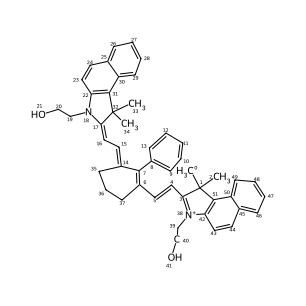 CC1(C)C(/C=C/C2=C(c3ccccc3)C(=C/C=C3/N(CCO)c4ccc5ccccc5c4C3(C)C)/CCC2)=[N+](CCO)c2ccc3ccccc3c21